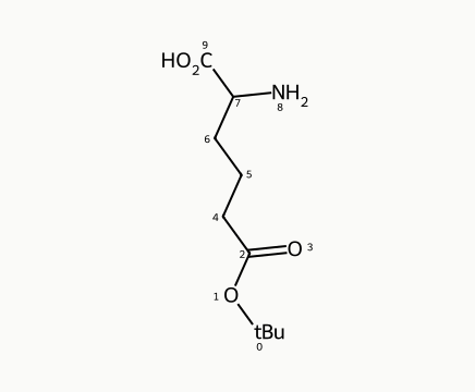 CC(C)(C)OC(=O)CCCC(N)C(=O)O